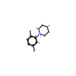 Cc1ccc(C)c(N2CCCCC2)c1